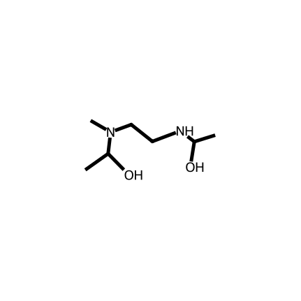 CC(O)NCCN(C)C(C)O